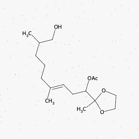 CC(=O)OC(C/C=C(\C)CCCC(C)CO)C1(C)OCCO1